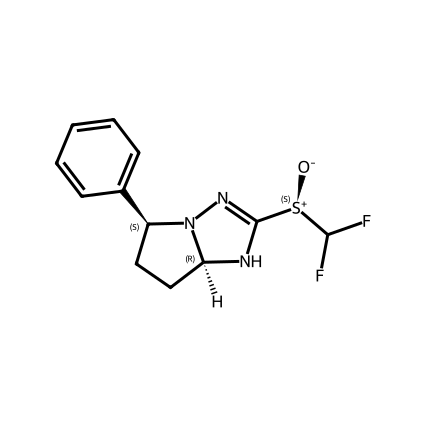 [O-][S@+](C1=NN2[C@H](CC[C@H]2c2ccccc2)N1)C(F)F